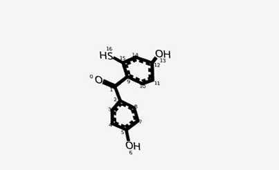 O=C(c1ccc(O)cc1)c1ccc(O)cc1S